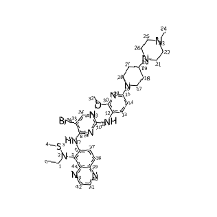 CCN(SC)c1c(Nc2nc(Nc3ccc(N4CCC(N5CCN(C)CC5)CC4)nc3OC)ncc2Br)ccc2nccnc12